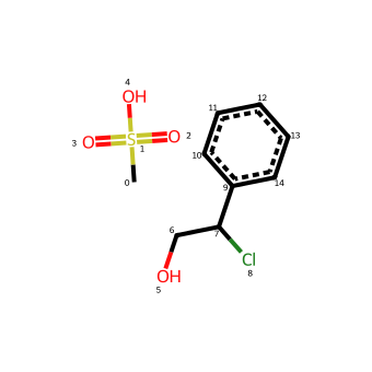 CS(=O)(=O)O.OCC(Cl)c1ccccc1